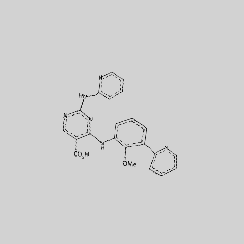 COc1c(Nc2nc(Nc3ccccn3)ncc2C(=O)O)cccc1-c1ccccn1